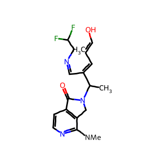 CNc1nccc2c1CN(C(C)C(/C=N\CC(F)F)=C/C(C)=C/O)C2=O